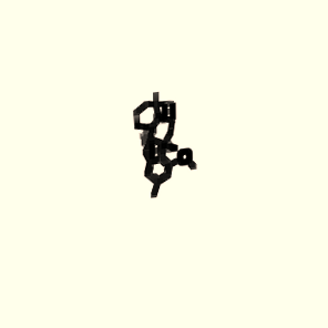 COc1cc(C)cc2c1[C@@]1(C)CC[C@H]3C(C)(C)CCC[C@]3(C)[C@H]1C2